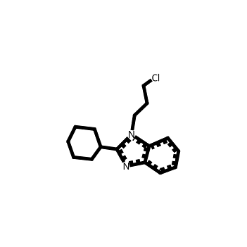 ClCCCn1c(C2CCCCC2)nc2ccccc21